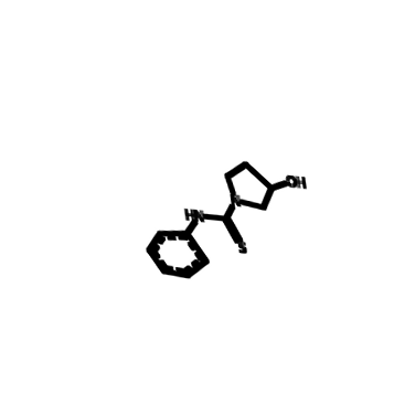 OC1CCN(C(=S)Nc2ccccc2)C1